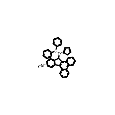 C1=CC[C]([Zr+2]([CH]2c3ccccc3-c3c2c2ccccc2c2ccccc32)=[Si](c2ccccc2)c2ccccc2)=C1.[Cl-].[Cl-]